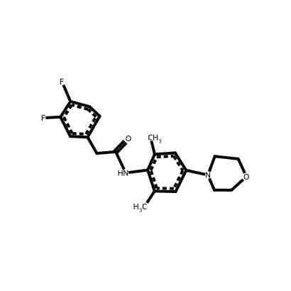 Cc1cc(N2CCOCC2)cc(C)c1NC(=O)Cc1ccc(F)c(F)c1